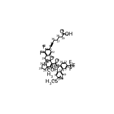 CSc1ccc(-c2cc(C(F)(F)F)ccc2NC(=O)C2=C(O)C3(C)CCCN3N(Cc3ccc(C#CCCCCC(=O)O)c(F)c3F)C2=O)cn1